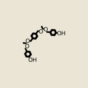 CC(OCc1ccc(O)cc1)OCc1ccc(COC(C)OCc2ccc(O)cc2)cc1